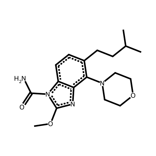 COc1nc2c(N3CCOCC3)c(CCC(C)C)ccc2n1C(N)=O